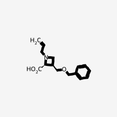 C=CCN1C[C@@H](COCc2ccccc2)[C@@H]1C(=O)O